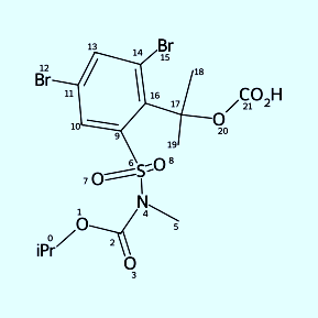 CC(C)OC(=O)N(C)S(=O)(=O)c1cc(Br)cc(Br)c1C(C)(C)OC(=O)O